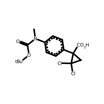 CN(C(=O)OC(C)(C)C)c1ccc(C2(C(=O)O)CC2(Cl)Cl)cc1